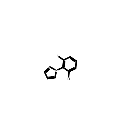 Fc1c[c]cc(Cl)c1-n1cccn1